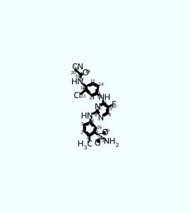 Cc1ccc(Nc2ncc(F)c(Nc3ccc(NC(=O)CC#N)c(Cl)c3)n2)cc1S(N)(=O)=O